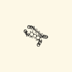 O=C=NC1CCC(CC2CCC(N=C=O)CC2)CC1.O=C=NCCCCCCN=C=O